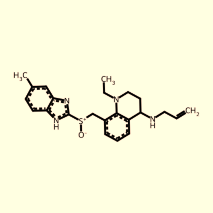 C=CCNC1CCN(CC)c2c(C[S+]([O-])c3nc4cc(C)ccc4[nH]3)cccc21